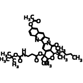 CCCC[Si](C)(C)C1OC(=O)C(CC)(OC(=O)CCNC(=O)OC(C)(C)C)c2cc3n(c(=O)c21)Cc1cc2cc(OC(C)=O)ccc2nc1-3